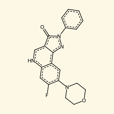 O=c1c2c[nH]c3cc(F)c(N4CCOCC4)cc3c-2nn1-c1ccccc1